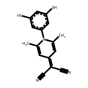 CC1=CC(=C(C#N)C#N)C=C(C)N1c1cc(S)cc(S)c1